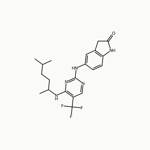 CC(C)CCC(C)Nc1nc(Nc2ccc3c(c2)CC(=O)N3)ncc1C(F)(F)F